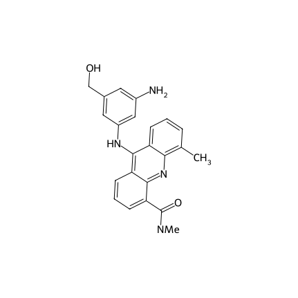 CNC(=O)c1cccc2c(Nc3cc(N)cc(CO)c3)c3cccc(C)c3nc12